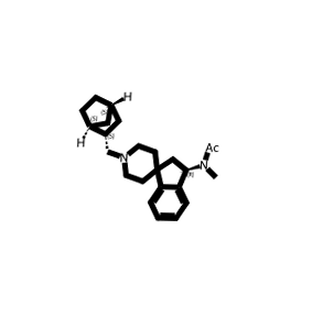 CC(=O)N(C)[C@@H]1CC2(CCN(C[C@H]3C[C@H]4CC[C@H]3C4)CC2)c2ccccc21